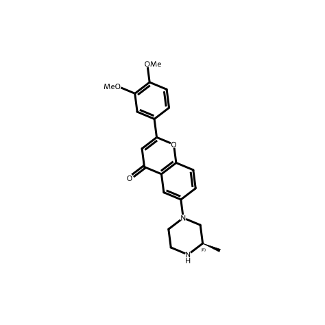 COc1ccc(-c2cc(=O)c3cc(N4CCN[C@H](C)C4)ccc3o2)cc1OC